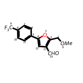 COCc1oc(-c2ccc(C(F)(F)F)cc2)cc1C=O